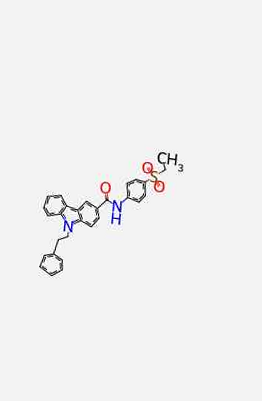 CCS(=O)(=O)c1ccc(NC(=O)c2ccc3c(c2)c2ccccc2n3CCc2ccccc2)cc1